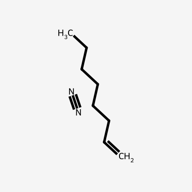 C=CCCCCCC.N#N